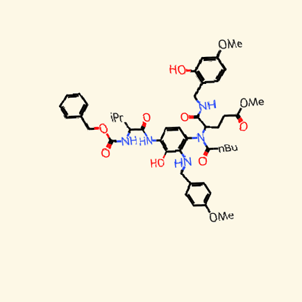 CCCCC(=O)N(c1ccc(NC(=O)C(NC(=O)OCc2ccccc2)C(C)C)c(O)c1NCc1ccc(OC)cc1)C(CCC(=O)OC)C(=O)NCc1ccc(OC)cc1O